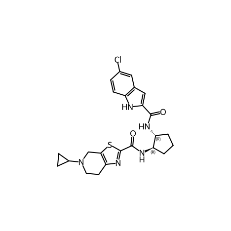 O=C(N[C@@H]1CCC[C@H]1NC(=O)c1nc2c(s1)CN(C1CC1)CC2)c1cc2cc(Cl)ccc2[nH]1